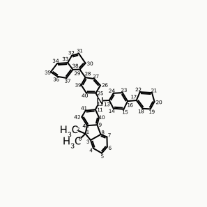 CC1(C)c2ccccc2-c2cc(N(c3ccc(-c4ccccc4)cc3)c3ccc(-c4cccc5ccccc45)cc3)ccc21